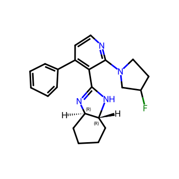 FC1CCN(c2nccc(-c3ccccc3)c2C2=N[C@@H]3CCCC[C@H]3N2)C1